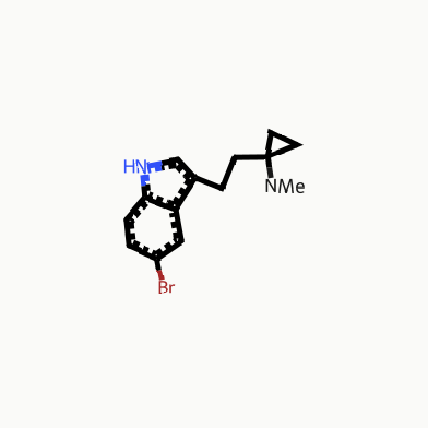 CNC1(CCc2c[nH]c3ccc(Br)cc23)CC1